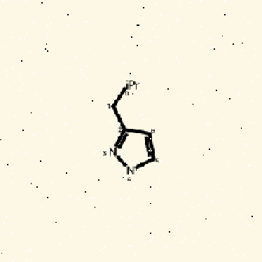 CC(C)CC1=N[N]C=C1